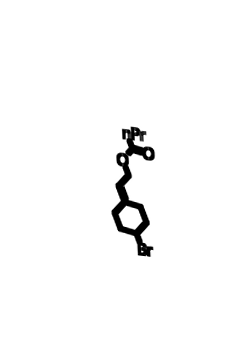 CCCC(=O)OCC=C1CCC(Br)CC1